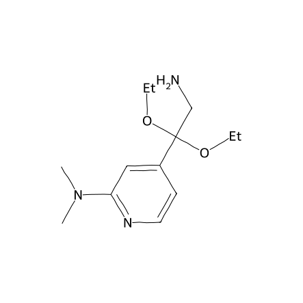 CCOC(CN)(OCC)c1ccnc(N(C)C)c1